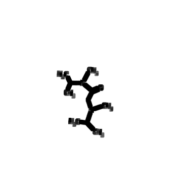 CC(C)N(C)CC(=O)N(C)C(C)C